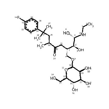 CCN[C@@H](O)[C@@H](O)[C@H](COC1OC(CO)[C@@H](O)C(O)C1O)CC(=O)C(C)CC(C)(C)c1ccc(F)cc1